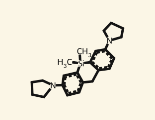 C[Si]1(C)c2cc(N3CCCC3)ccc2Cc2ccc(N3CCCC3)cc21